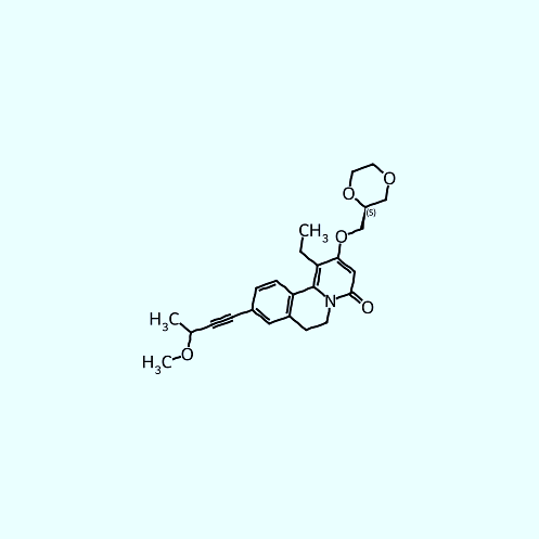 CCc1c(OC[C@@H]2COCCO2)cc(=O)n2c1-c1ccc(C#CC(C)OC)cc1CC2